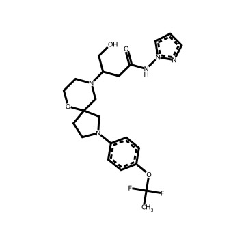 CC(F)(F)Oc1ccc(N2CCC3(C2)CN(C(CO)CC(=O)Nn2cccn2)CCO3)cc1